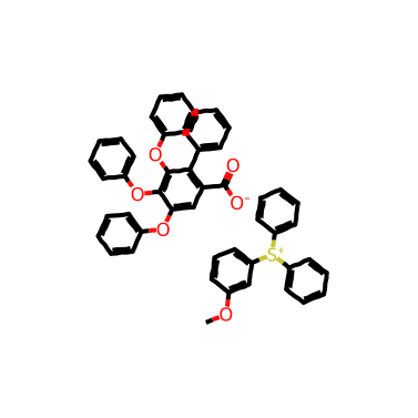 COc1cccc([S+](c2ccccc2)c2ccccc2)c1.O=C([O-])c1cc(Oc2ccccc2)c(Oc2ccccc2)c(Oc2ccccc2)c1-c1ccccc1